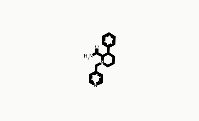 NC(=O)C1C(c2ccccc2)CCCN1Cc1ccncc1